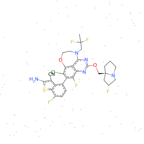 CC(F)(F)CN1CCOc2c(Cl)c(-c3ccc(F)c4sc(N)c(C#N)c34)c(F)c3nc(OC[C@@]45CCCN4C[C@H](F)C5)nc1c23